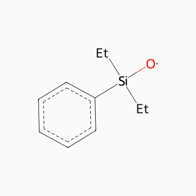 CC[Si]([O])(CC)c1ccccc1